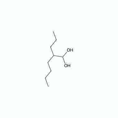 CCCCC(CCC)C(O)O